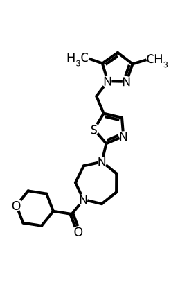 Cc1cc(C)n(Cc2cnc(N3CCCN(C(=O)C4CCOCC4)CC3)s2)n1